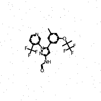 Cc1cc(OC(C)(C)C(F)(F)F)cc(-c2cc(NC=O)nn2-c2cnccc2C(F)(F)F)c1